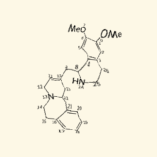 COc1cc2c(cc1OC)C(CC1=CCN3CCc4ccccc4C3C1)NCC2